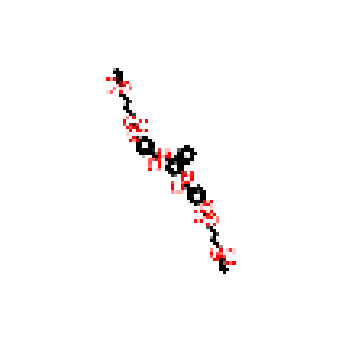 C=CC(=O)OCCCCOC(=O)Oc1ccc(C(=O)Oc2ccc(OC(=O)c3ccc(OC(=O)OCCCCOC(=O)C=C)cc3)c3c2C2CCC3C2)cc1